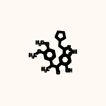 COc1ccc(N(C)C(=O)c2cc3c(CC4CCCC4)n[nH]c3cc2O)cc1OC